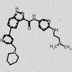 CN(C)CCNc1ccc(NC(=O)c2n[nH]c3ccc(-c4cncc(CN5CCCCC5)c4)cc23)cn1